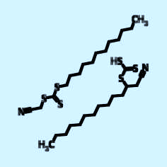 CCCCCCCCCCCC(CC#N)SC(=S)S.CCCCCCCCCCCCSC(=S)SCC#N